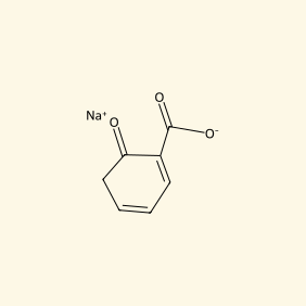 O=C([O-])C1=CC=CCC1=O.[Na+]